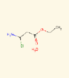 CCOC(=O)CC(N)Cl.O